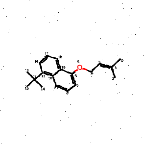 CC(C)=CCOc1cccc2c(C(C)(C)C)cccc12